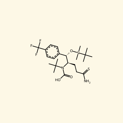 CC(C)(C)N(C(=O)O)[C@H](CCC(N)=S)[C@@H](O[Si](C)(C)C(C)(C)C)c1ccc(C(F)(F)F)cc1